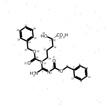 NC(=NC(=O)OCc1ccccc1)N(CCC[C@H](O)C(=O)O)C(=O)OCc1ccccc1